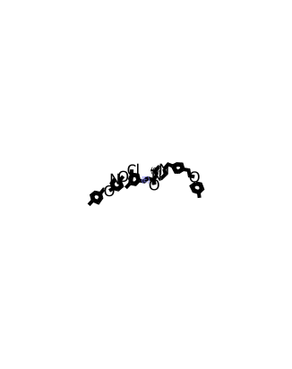 Cc1ccc(COc2ccc(Oc3c(C)cc(/C=C/C(=O)N4CCN(Cc5ccc(CCOc6ccc(C)cc6)cc5)C[C@@H]4C)cc3Cl)nc2)cc1